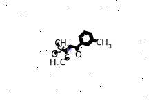 CS/C(=C\C(=O)c1cccc(C)c1)[S+](C)[O-]